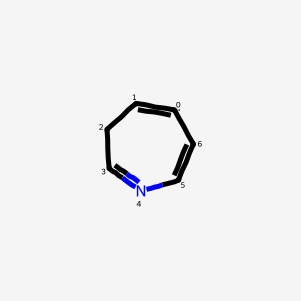 [C]1=CCC=NC=C1